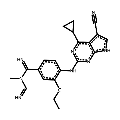 CCOc1cc(C(=N)N(C)C=N)ccc1Nc1nc(C2CC2)c2c(C#N)c[nH]c2n1